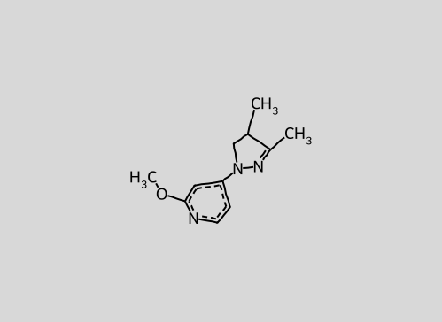 COc1cc(N2CC(C)C(C)=N2)ccn1